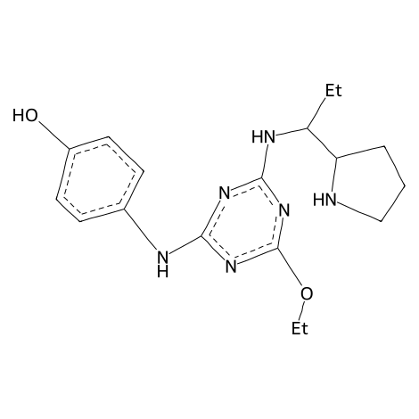 CCOc1nc(Nc2ccc(O)cc2)nc(NC(CC)C2CCCN2)n1